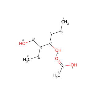 CC(=O)O.CCCC(O)C(CC)CO